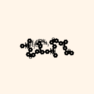 CC1(C)c2ccc(-n3c4ccc(-c5ccc6oc7cccc(-c8cccc(-c9nc(-c%10ccccc%10)nc(-c%10ccccc%10)n9)c8)c7c6c5)cc4c4ccc(-c5ccc(-c6nc(-c7ccccc7)nc(-c7cccc(-c8cccc9oc%10ccc(-c%11ccc%12c(c%11)c%11ccccc%11n%12-c%11ccc(-c%12cccc%13c%12oc%12ccccc%12%13)cc%11)cc%10c89)c7)n6)cc5)cc43)cc2C(C)(C)C1(C)C